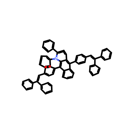 C1=Cc2c(c(-c3ccc(C=C(c4ccccc4)c4ccccc4)cc3)c3ccccc3c2-c2ccc(C=C(c3ccccc3)c3ccccc3)cc2)N(c2ccccc2)C=1c1ccccc1